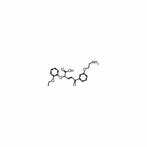 CCOc1ccccc1OC(C=CC(=O)c1cccc(OCCN)c1)C(=O)O